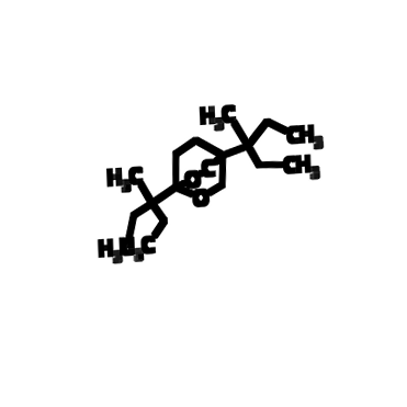 CCC(C)(CC)C12CCC(C(C)(CC)CC)(OC1)OC2